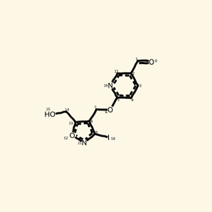 O=Cc1ccc(OCc2c(I)noc2CO)nc1